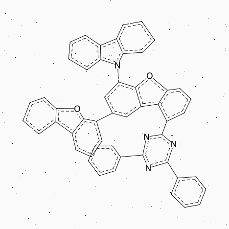 c1ccc(-c2nc(-c3ccccc3)nc(-c3cccc4oc5c(-n6c7ccccc7c7ccccc76)cc(-c6cccc7c6oc6ccccc67)cc5c34)n2)cc1